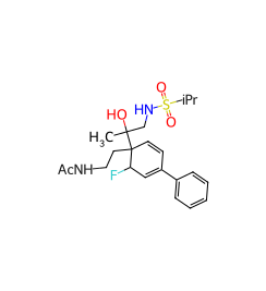 CC(=O)NCCC1(C(C)(O)CNS(=O)(=O)C(C)C)C=CC(c2ccccc2)=CC1F